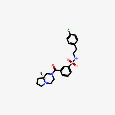 O=C(c1cccc(S(=O)(=O)NCCc2ccc(F)cc2)c1)N1CCN2CCC[C@H]2C1